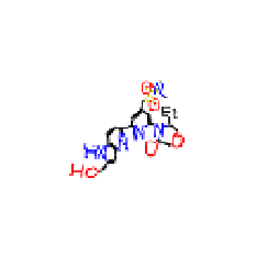 CC[C@H]1COCC(=O)N1c1cc(CS(=O)(=O)N(C)C)cc(-c2ccc3[nH]c(CO)cc3n2)n1